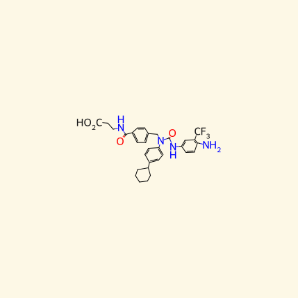 Nc1ccc(NC(=O)N(Cc2ccc(C(=O)NCCC(=O)O)cc2)c2ccc(C3CCCCC3)cc2)cc1C(F)(F)F